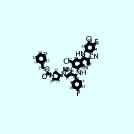 N#Cc1cnc2c(NC(c3ccc(F)cc3)c3cn([C@@H]4CCN(C(=O)OCc5ccccc5)C4)nn3)cc(Cl)cc2c1Nc1ccc(F)c(Cl)c1